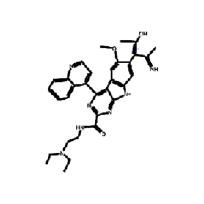 CCN(CC)CCNC(=O)c1nc(-c2ccnc3ccccc23)c2c(n1)[nH]c1cc(/C(C(C)=N)=C(\C)O)c(OC)cc12